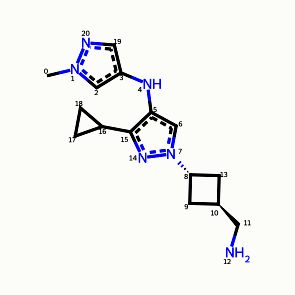 Cn1cc(Nc2cn([C@H]3C[C@H](CN)C3)nc2C2CC2)cn1